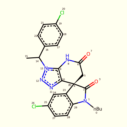 CCCCN1C(=O)[C@]2(CC(=O)Nc3c2nnn3C(C)c2ccc(Cl)cc2)c2cc(Cl)ccc21